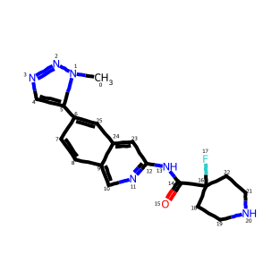 Cn1nncc1-c1ccc2cnc(NC(=O)C3(F)CCNCC3)cc2c1